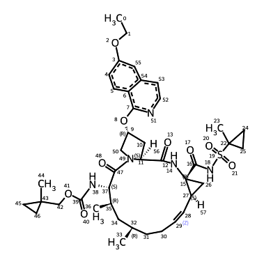 CCOc1ccc2c(O[C@@H]3C[C@H]4C(=O)N[C@]5(C(=O)NS(=O)(=O)C6(C)CC6)C[C@H]5/C=C\CC[C@@H](C)C[C@@H](C)[C@H](NC(=O)OCC5(C)CC5)C(=O)N4C3)nccc2c1